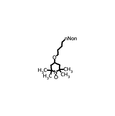 CCCCCCCCCCCCCOC1CC(C)(C)N([O])C(C)(C)C1